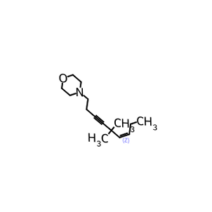 CC/C=C\C(C)(C)C#CCCN1CCOCC1